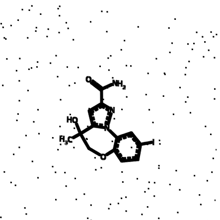 CC1(O)COc2ccc(I)cc2-n2nc(C(N)=O)cc21